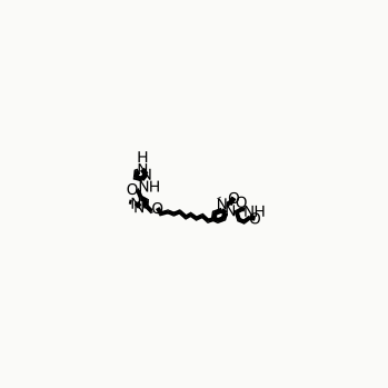 Cn1nc(COCCCCCCCCCc2ccc3c(c2)n(C)c(=O)n3[C@H]2CCC(=O)NC2=O)cc1C(=O)Nc1cc[nH]n1